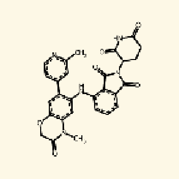 Cc1cc(-c2cc3c(cc2Nc2cccc4c2C(=O)N(C2CCC(=O)NC2=O)C4=O)N(C)C(=O)CO3)ccn1